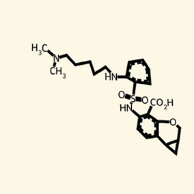 CN(C)CCCCCNc1ccccc1S(=O)(=O)Nc1ccc2c(c1C(=O)O)OCC1CC21